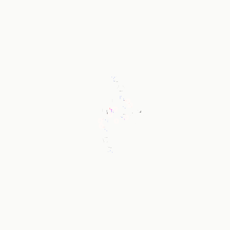 Cc1cc([C@H](C(=O)N2C[C@H](OCc3cc([C@H](C(=O)N4C[C@H](O)C[C@H]4C(=O)NCc4ccc(-c5cncs5)cc4)C(C)(C)C)on3)C[C@H]2C(=O)NCc2ccc(-c3cncs3)cc2)C(C)C)on1